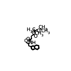 CC(C)OCC(C)(C)OC(=O)CCC(=O)NC(CO)Cc1ccc2ccccc2c1